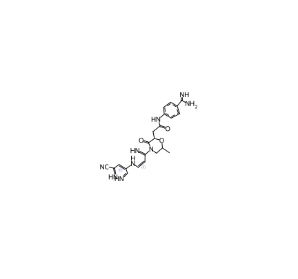 CC1CN(C(=N)/C=C\N/C(C=N)=C/C(=N)C#N)C(=O)C(CC(=O)Nc2ccc(C(=N)N)cc2)O1